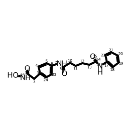 O=C(Cc1ccc(NC(=O)CCCCC(=O)Nc2ccccc2)cc1)NO